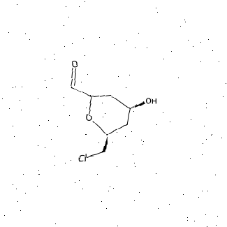 O=CC1C[C@@H](O)C[C@@H](CCl)O1